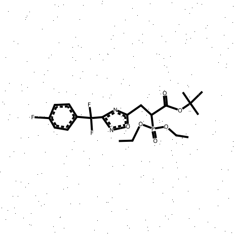 CCOP(=O)(OCC)C(Cc1nc(C(F)(F)c2ccc(F)cc2)no1)C(=O)OC(C)(C)C